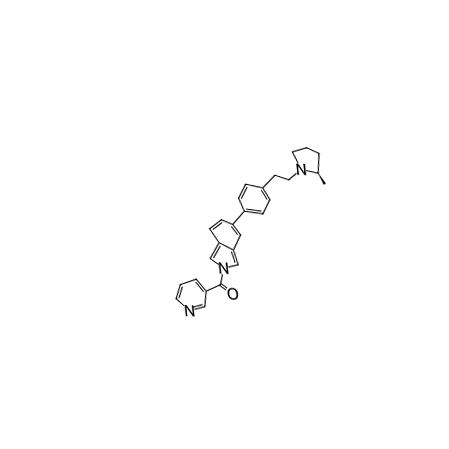 C[C@@H]1CCCN1CCc1ccc(-c2ccc3cn(C(=O)c4cccnc4)cc3c2)cc1